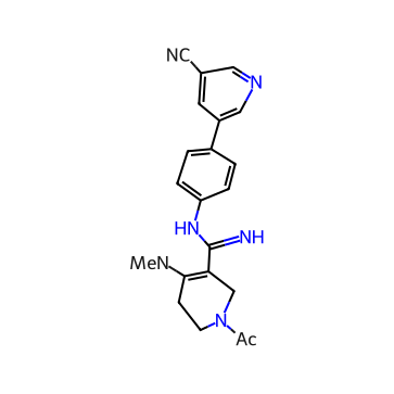 CNC1=C(C(=N)Nc2ccc(-c3cncc(C#N)c3)cc2)CN(C(C)=O)CC1